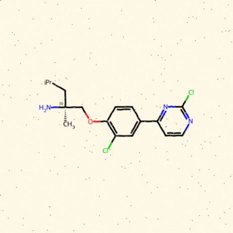 CC(C)C[C@](C)(N)COc1ccc(-c2ccnc(Cl)n2)cc1Cl